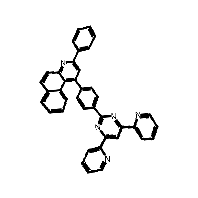 c1ccc(-c2cc(-c3ccc(-c4nc(-c5ccccn5)cc(-c5ccccn5)n4)cc3)c3c(ccc4ccccc43)n2)cc1